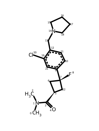 CN(C)C(=O)[C@H]1C[C@](F)(c2ccc(CN3CCCC3)c(Cl)c2)C1